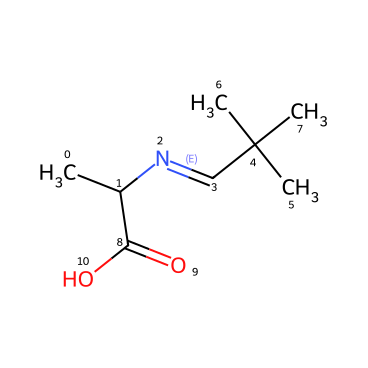 CC(/N=C/C(C)(C)C)C(=O)O